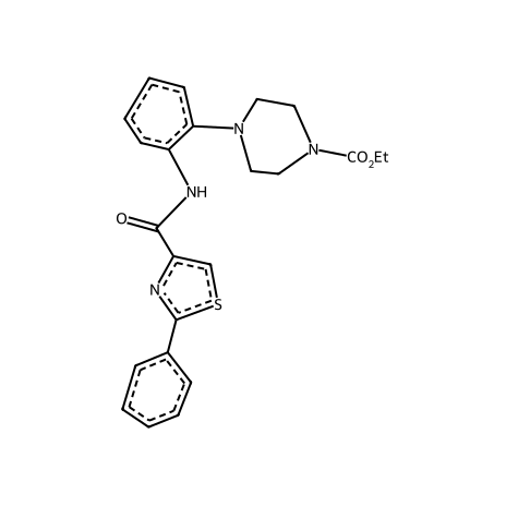 CCOC(=O)N1CCN(c2ccccc2NC(=O)c2csc(-c3ccccc3)n2)CC1